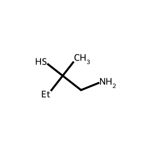 CCC(C)(S)CN